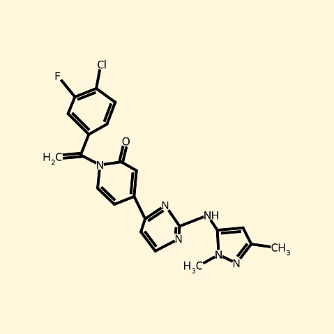 C=C(c1ccc(Cl)c(F)c1)n1ccc(-c2ccnc(Nc3cc(C)nn3C)n2)cc1=O